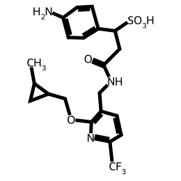 CC1CC1COc1nc(C(F)(F)F)ccc1CNC(=O)CC(c1ccc(N)cc1)S(=O)(=O)O